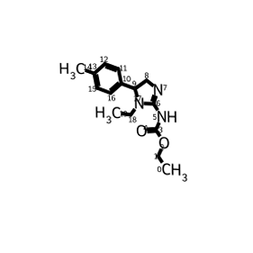 CCOC(=O)NC1=NCC(c2ccc(C)cc2)N1CC